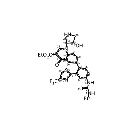 CCNC(=O)Nc1cc(-c2nc(C(F)(F)F)cs2)c(-c2ccc3c(c2)c(=O)c(C(=O)OCC)cn3[C@H]2CNC[C@@H]2O)cn1